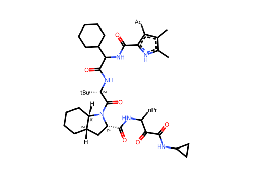 CCCC(NC(=O)[C@@H]1C[C@@H]2CCCC[C@@H]2N1C(=O)[C@@H](NC(=O)C(NC(=O)c1[nH]c(C)c(C)c1C(C)=O)C1CCCCC1)C(C)(C)C)C(=O)C(=O)NC1CC1